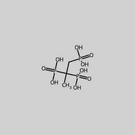 CC(CP(=O)(O)O)(P(=O)(O)O)P(=O)(O)O